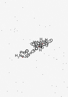 CC(C)Oc1ccccc1[C@@H]1CN(CC23CC(N)(C2)C3)CCN1C1CC2(CCN(c3ccc(C(=O)NS(=O)(=O)c4cc5c(c([N+](=O)[O-])c4)N[C@H](C4CCOCC4)CO5)c(N4c5cc6cc[nH]c6nc5O[C@H]5COCC[C@@H]54)c3)CC2)C1